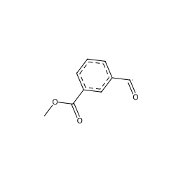 COC(=O)c1cccc([C]=O)c1